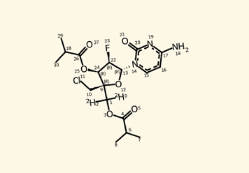 [2H]C([2H])(OC(=O)C(C)C)[C@@]1(CCl)O[C@@H](n2ccc(N)nc2=O)[C@H](F)[C@@H]1OC(=O)C(C)C